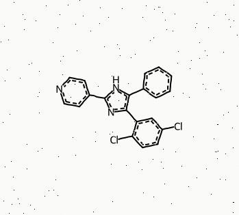 Clc1ccc(Cl)c(-c2nc(-c3ccncc3)[nH]c2-c2ccccc2)c1